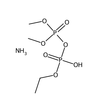 CCOP(=O)(O)OP(=O)(OC)OC.N